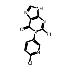 O=c1c2nc[nH]c2nc(Cl)n1-c1ccc(Cl)nc1